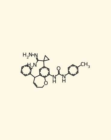 Cc1ccc(NC(=O)Nc2cc(C3(/C(N)=N/N)CC3)cc3c2OCC=CC3c2ccccc2)cc1